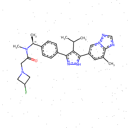 Cc1cc(-c2[nH]nc(-c3ccc([C@H](C)N(C)C(=O)CN4CC(F)C4)cc3)c2C(C)C)cn2ncnc12